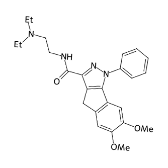 CCN(CC)CCNC(=O)c1nn(-c2ccccc2)c2c1Cc1cc(OC)c(OC)cc1-2